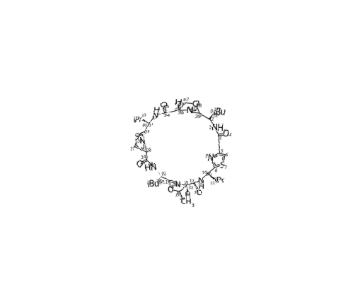 CC[C@H](C)C1NC(=O)c2csc(n2)[C@@H](C(C)C)NC(=O)[C@H]2N=C(O[C@@H]2C)[C@H]([C@@H](C)CC)NC(=O)c2csc(n2)[C@@H](C(C)C)NC(=O)[C@@H]2COC1=N2